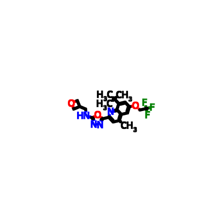 Cc1cc(-c2nnc(NCC3COC3)o2)nc2c(C(C)(C)C)cc(OCC(F)(F)F)cc12